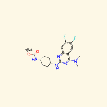 CN(C)c1nc(N[C@H]2CC[C@@H](NC(=O)OC(C)(C)C)CC2)nc2cc(F)c(F)cc12